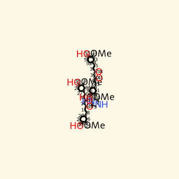 C1CNCCN1.COc1cc(/C=C/C(=O)CC(=O)/C=C/c2ccc(O)c(OC)c2)ccc1O.COc1cc(/C=C/C(=O)CC(=O)/C=C/c2ccc(O)c(OC)c2)ccc1O